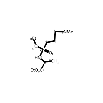 CCOC(=O)[C@H](C)NP(=O)(CCCNC)OCC